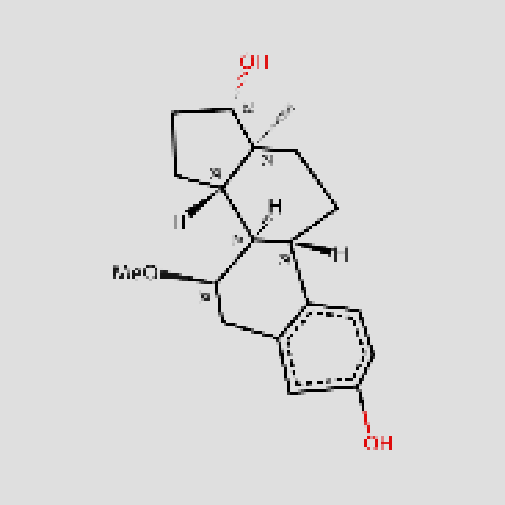 CO[C@@H]1Cc2cc(O)ccc2[C@H]2CC[C@]3(C)[C@@H](O)CC[C@H]3[C@@H]21